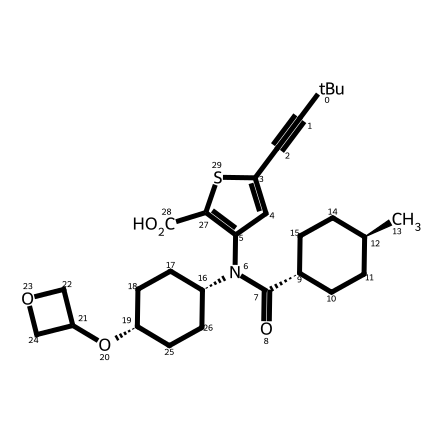 CC(C)(C)C#Cc1cc(N(C(=O)[C@H]2CC[C@H](C)CC2)[C@H]2CC[C@@H](OC3COC3)CC2)c(C(=O)O)s1